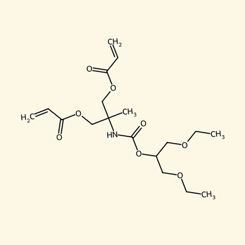 C=CC(=O)OCC(C)(COC(=O)C=C)NC(=O)OC(COCC)COCC